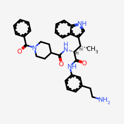 C[C@@H](c1c[nH]c2ccccc12)[C@@H](NC(=O)C1CCN(C(=O)c2ccccc2)CC1)C(=O)Nc1cccc(CCN)c1